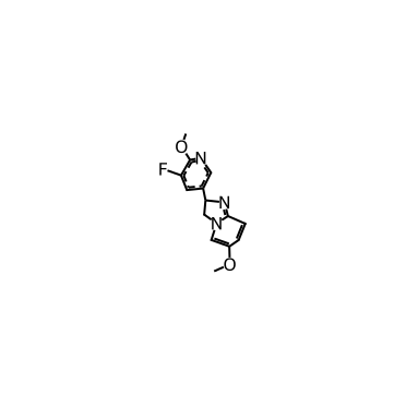 COC1=CN2CC(c3cnc(OC)c(F)c3)N=C2C=C1